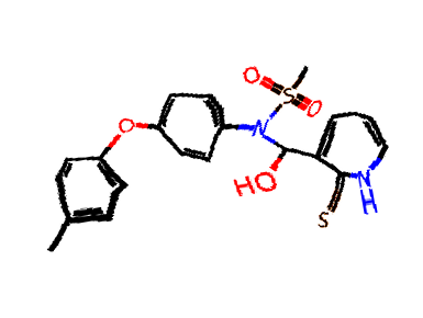 Cc1ccc(Oc2ccc(N(C(O)c3ccc[nH]c3=S)S(C)(=O)=O)cc2)cc1